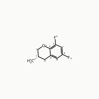 C[C@@H]1COc2c(F)cc(F)cc2C1